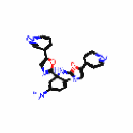 CC1=CC=C(N)CC1(Nc1ncc(-c2ccncc2)o1)c1ncc(-c2cccnc2)o1